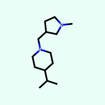 CC(C)C1CCN(CC2CCN(C)C2)CC1